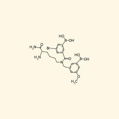 COc1cc(CN(CCCCC(N)C(N)=O)C(=O)c2cc(Br)cc(B(O)O)c2)cc(B(O)O)c1